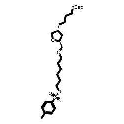 CCCCCCCCCCCCCC[C@H]1CO[C@H](COCCCCCCOS(=O)(=O)c2ccc(C)cc2)C1